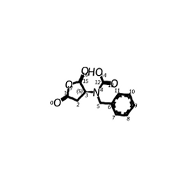 O=C1C[C@H](N(Cc2ccccc2)C(=O)O)C(=O)O1